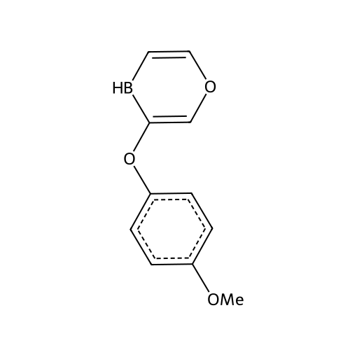 COc1ccc(OC2=COC=CB2)cc1